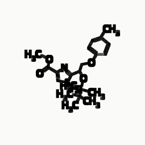 COC(=O)c1csc(C(COc2ccc(C)cc2)O[Si](C)(C)C(C)(C)C)n1